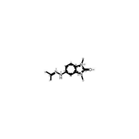 CC(C)=NNc1ccc2c(c1)n(C)c(=O)n2C